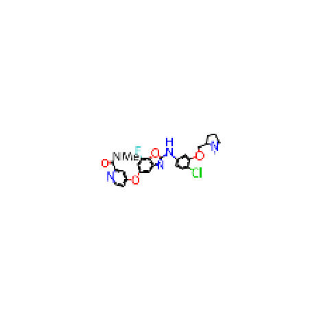 CNC(=O)c1cc(Oc2cc(F)c3oc(Nc4ccc(Cl)c(OCC5CCCN5C)c4)nc3c2)ccn1